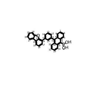 OB(O)c1c2ccccc2c(-c2cccc(-c3cccc4c3oc3ccccc34)c2)c2ccccc12